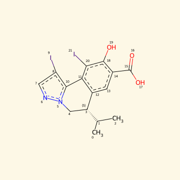 CC(C)[C@@H]1Cn2ncc(I)c2-c2c1cc(C(=O)O)c(O)c2I